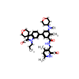 CCN(c1cc(-c2ccc3c(c2)N(CCC(F)(F)F)C(=C=O)C32CCOCC2)cc(C(=O)NCC2=C(C)C=C(C)NC2=C=O)c1C)C1CCOCC1